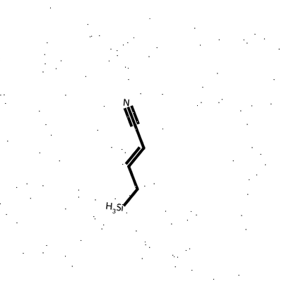 N#CC=CC[SiH3]